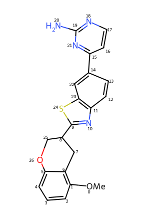 COc1cccc2c1CC(c1nc3ccc(-c4ccnc(N)n4)cc3s1)CO2